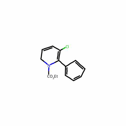 CCOC(=O)N1CC=CC(Cl)=C1c1ccccc1